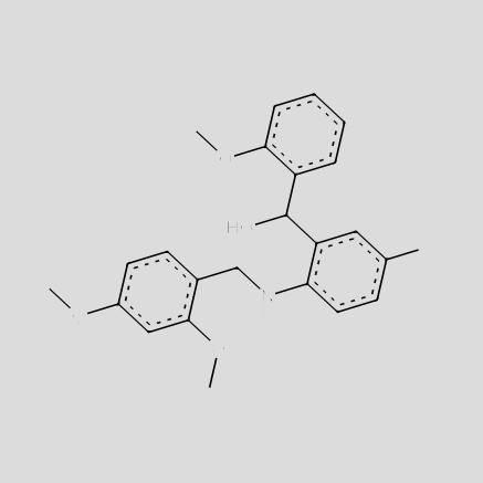 COc1ccc(CNc2ccc(Cl)cc2C(O)c2ccccc2OC)c(OC)c1